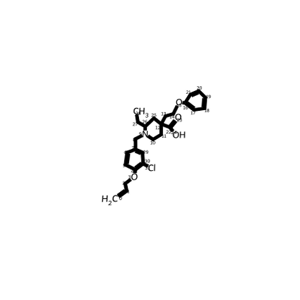 C=CCOc1ccc(CN2CCC(CCOc3ccccc3)(C(=O)O)CC2CC)cc1Cl